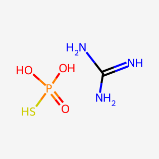 N=C(N)N.O=P(O)(O)S